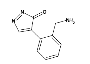 NCc1ccccc1C1=CN=NC1=O